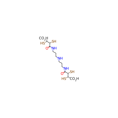 O=C(O)C(S)C(S)C(=O)NCCCNCCCNC(=O)C(S)C(S)C(=O)O